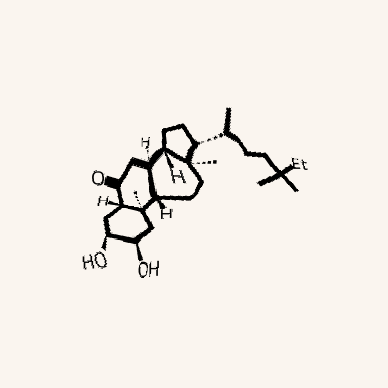 CCC(C)(C)CCC(C)[C@H]1CC[C@H]2[C@@H]3CC(=O)[C@H]4C[C@H](O)[C@H](O)C[C@]4(C)[C@H]3CC[C@]12C